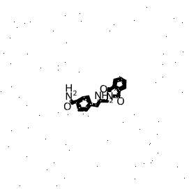 NC(=O)c1ccc(CC(N)CN2C(=O)c3ccccc3C2=O)cc1